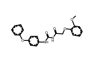 COc1ccccc1OCC(=O)NC(=O)Nc1ccc(Oc2ccccc2)cc1